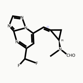 CN(C=O)[C@@H]1C/C1=C/c1cc(C(F)F)nc2ncnn12